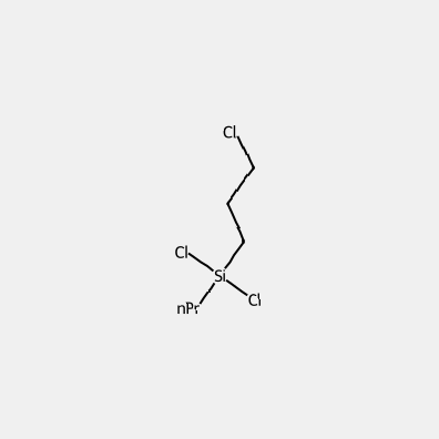 CCC[Si](Cl)(Cl)CCCCl